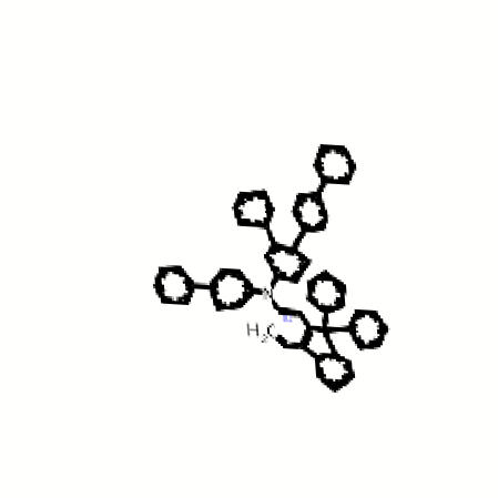 C=CC1=C(/C=C/N(c2ccc(-c3ccccc3)cc2)c2ccc(-c3ccc(-c4ccccc4)cc3)c(-c3ccccc3)c2)C(c2ccccc2)(c2ccccc2)c2ccccc21